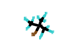 F[C](F)(F)[Sn]([Br])([C](F)(F)F)[C](F)(F)F